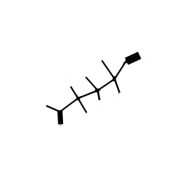 [2H]C([2H])(C#C)C([2H])([2H])C([2H])([2H])C(=O)O